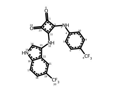 O=c1c(Nc2ccc(C(F)(F)F)cc2)c(Nc2c[nH]c3ccc(C(F)(F)F)cc23)c1=O